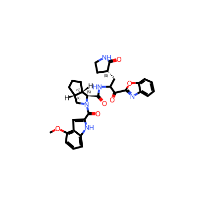 COc1cccc2[nH]c(C(=O)N3C[C@@H]4CCC[C@@H]4[C@H]3C(=O)NC(C[C@@H]3CCNC3=O)C(=O)c3nc4ccccc4o3)cc12